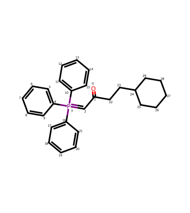 O=C(C=P(c1ccccc1)(c1ccccc1)c1ccccc1)CCC1CCCCC1